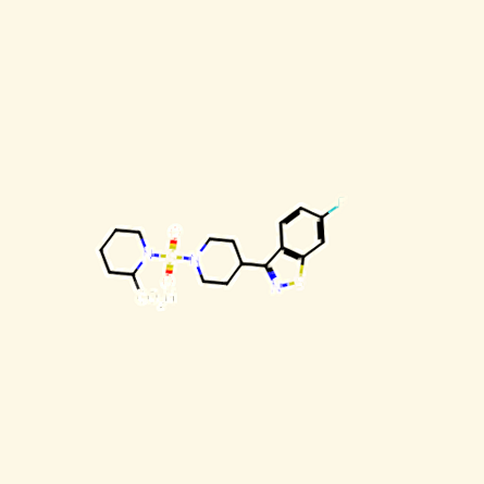 O=C(O)C1CCCCN1S(=O)(=O)N1CCC(c2nsc3cc(F)ccc23)CC1